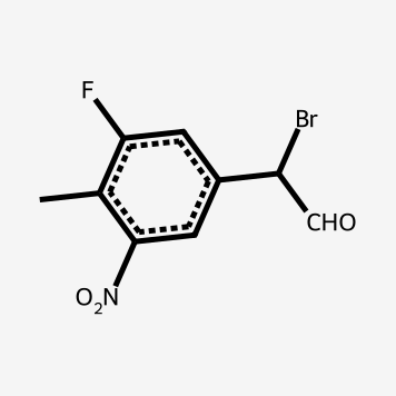 Cc1c(F)cc(C(Br)C=O)cc1[N+](=O)[O-]